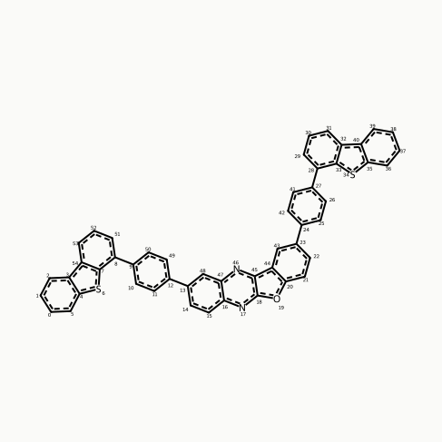 c1ccc2c(c1)sc1c(-c3ccc(-c4ccc5nc6oc7ccc(-c8ccc(-c9cccc%10c9sc9ccccc9%10)cc8)cc7c6nc5c4)cc3)cccc12